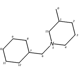 CC1CCCN(CC2CCCCC2)C1